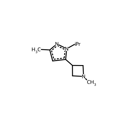 Cc1cc(C2CN(C)C2)n(C(C)C)n1